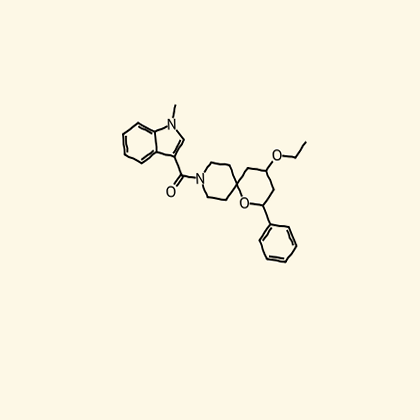 CCOC1CC(c2ccccc2)OC2(CCN(C(=O)c3cn(C)c4ccccc34)CC2)C1